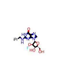 CC(C)CNc1nc2c(ncn2[C@@H]2O[C@H](CO)[C@H](O)[C@H]2OF)c(=O)[nH]1